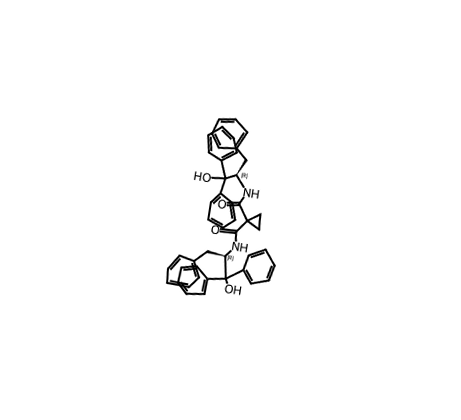 O=C(N[C@H](Cc1ccccc1)C(O)(c1ccccc1)c1ccccc1)C1(C(=O)N[C@H](Cc2ccccc2)C(O)(c2ccccc2)c2ccccc2)CC1